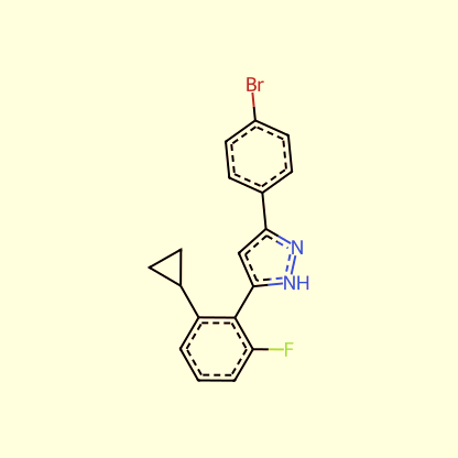 Fc1cccc(C2CC2)c1-c1cc(-c2ccc(Br)cc2)n[nH]1